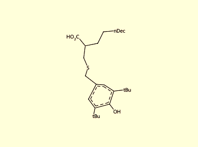 CCCCCCCCCCCCC(CSCc1cc(C(C)(C)C)c(O)c(C(C)(C)C)c1)C(=O)O